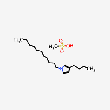 CCCCCCCCCCCn1ccc(CCCC)c1.CS(=O)(=O)O